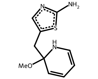 COC1(Cc2cnc(N)s2)C=CC=CN1